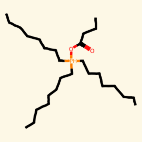 CCCCCCCC[PH](CCCCCCCC)(CCCCCCCC)OC(=O)CCC